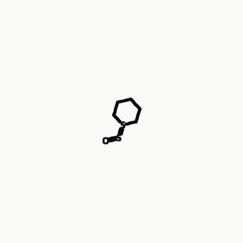 O=S=S1CCCCC1